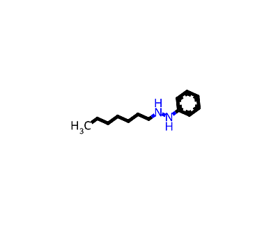 CCCCCCCNNc1ccccc1